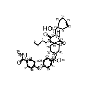 CCCCN1C(=O)[C@@H]([C@H](O)C2CC=CCC2)NC(=O)C12CCN(Cc1ccc(Oc3ccc(C(=O)NC)cc3)cc1)CC2.Cl